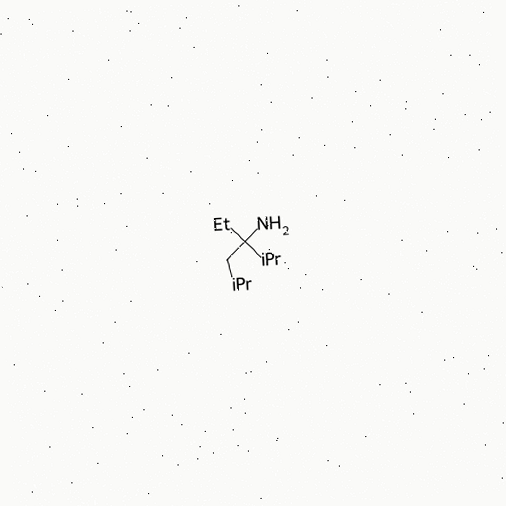 CCC(N)(CC(C)C)C(C)C